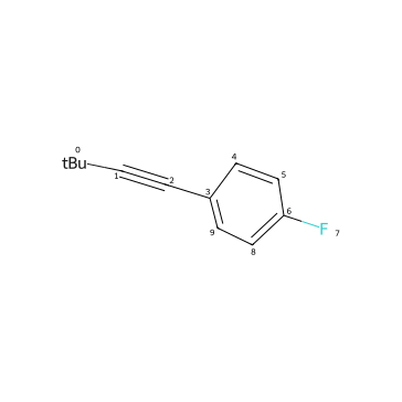 CC(C)(C)C#Cc1ccc(F)cc1